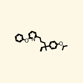 C=CC(C)(CCCc1cccc(Oc2ccccc2)n1)c1ccc(OC(C)C)cc1